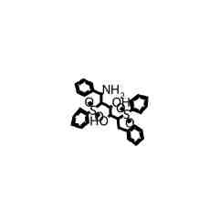 NC(c1ccccc1)C(C(O)C(O)C(Cc1ccccc1)S(=O)(=O)c1ccccc1)S(=O)(=O)c1ccccc1